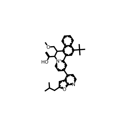 C=C(O)C1C(COC)c2c(cc(C(C)(C)C)c3ccccc23)-c2cc(-c3ccnc4oc(CC(C)C)cc34)cc[n+]21